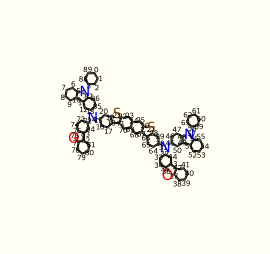 c1ccc(-n2c3ccccc3c3cc(N(c4ccc5c(c4)sc4cc6cc7sc8cc(N(c9ccc%10oc%11ccccc%11c%10c9)c9ccc%10c(c9)c9ccccc9n%10-c9ccccc9)ccc8c7cc6cc45)c4ccc5oc6ccccc6c5c4)ccc32)cc1